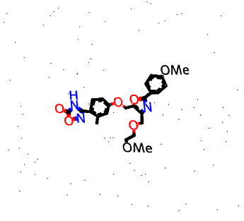 COCCOCc1nc(-c2ccc(OC)cc2)oc1COc1ccc(-c2noc(=O)[nH]2)c(C)c1